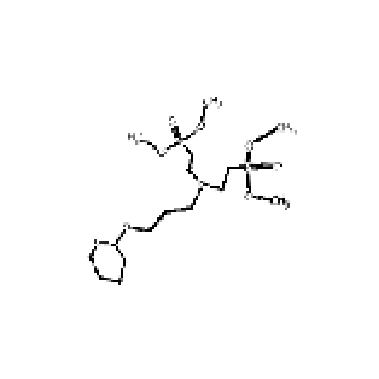 COP(=O)(CCN(CCCOC1CCCCO1)CCP(=O)(OC)OC)OC